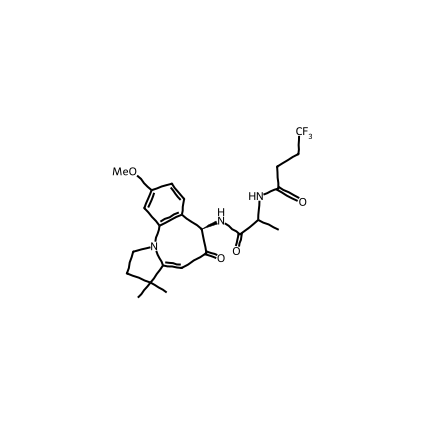 COc1ccc2c(c1)N1CCC(C)(C)C1=CC(=O)[C@@H]2NC(=O)C(C)NC(=O)CCC(F)(F)F